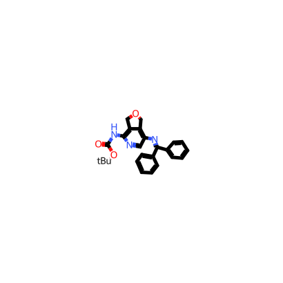 CC(C)(C)OC(=O)Nc1ncc(N=C(c2ccccc2)c2ccccc2)c2c1COC2